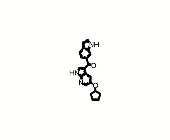 O=C(c1ccc2cc[nH]c2c1)c1c[nH]c2ncc(OC3CCCC3)cc12